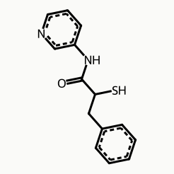 O=C(Nc1cccnc1)C(S)Cc1ccccc1